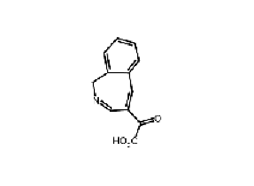 O=C(O)C(=O)C1=Cc2ccccc2CN=C1